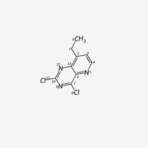 CCc1ccnc2c(Cl)nc(Cl)nc12